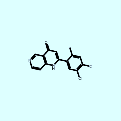 Cc1cc(Cl)c(Cl)cc1-c1cc(=O)c2cnccc2[nH]1